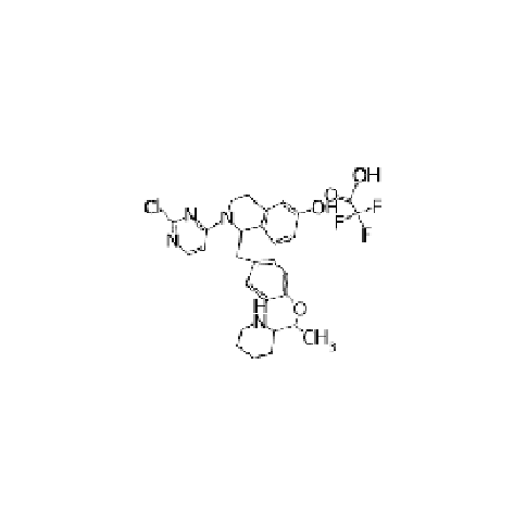 CC(Oc1ccc(CC2c3ccc(O)cc3CCN2c2ccnc(Cl)n2)cc1)C1CCCCN1.O=C(O)C(F)(F)F